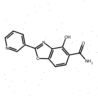 NC(=O)c1ccc2oc(-c3cccnc3)nc2c1O